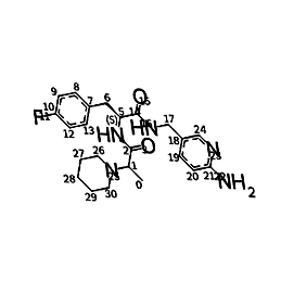 CC(C(=O)N[C@@H](Cc1ccc(F)cc1)C(=O)NCc1ccc(N)nc1)N1CCCCC1